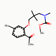 COC(=O)c1ccc(C(C)(C)C)cc1OCC(C)(C)CN(C)C(=O)OC(C)(C)C